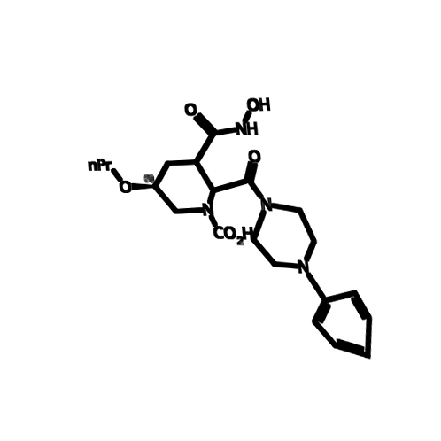 CCCO[C@H]1CC(C(=O)NO)C(C(=O)N2CCN(c3ccccc3)CC2)N(C(=O)O)C1